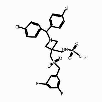 CS(=O)(=O)NCC1(CS(=O)(=O)Cc2cc(F)cc(F)c2)CN(C(c2ccc(Cl)cc2)c2ccc(Cl)cc2)C1